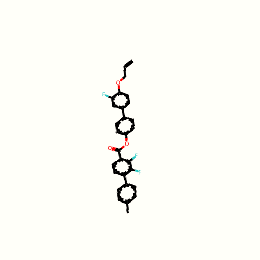 C=CCOc1ccc(-c2ccc(OC(=O)c3ccc(-c4ccc(C)cc4)c(F)c3F)cc2)cc1F